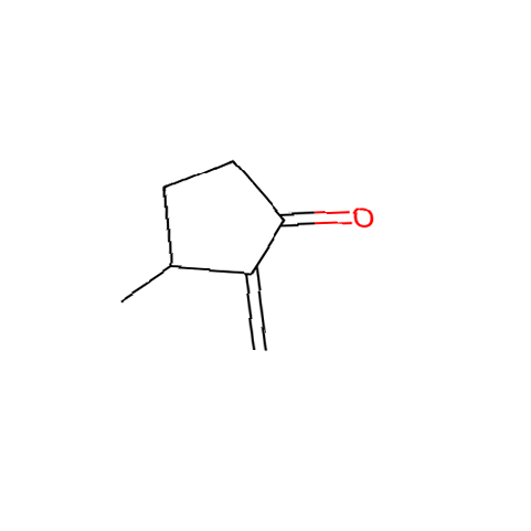 C=C1C(=O)CCC1C